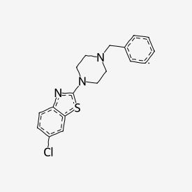 Clc1ccc2nc(N3CCN(Cc4c[c]ccc4)CC3)sc2c1